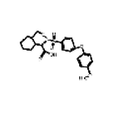 COc1ccc(Oc2ccc(S(=O)(=O)N3CCC4CCCCC4C3C(=O)O)cc2)cc1